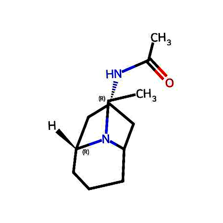 CCN1C2CCC[C@@H]1C[C@H](NC(C)=O)C2